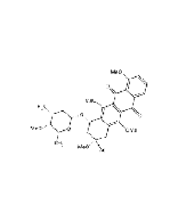 COc1cccc2c1C(=O)c1c(OC)c3c(c(OC)c1C2=O)C[C@@](OC)(C(C)=O)C[C@@H]3O[C@H]1C[C@@H](N)[C@@H](OC)C(C)O1